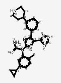 Cc1ccc(C2CC2)cc1N(C(N)=O)c1nc(-c2cccc(C3CCNCC3)c2)c(-c2nnco2)s1